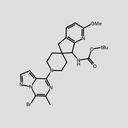 COc1ccc2c(n1)C(NC(=O)OC(C)(C)C)C1(CCN(c3nc(C)c(Br)n4nccc34)CC1)C2